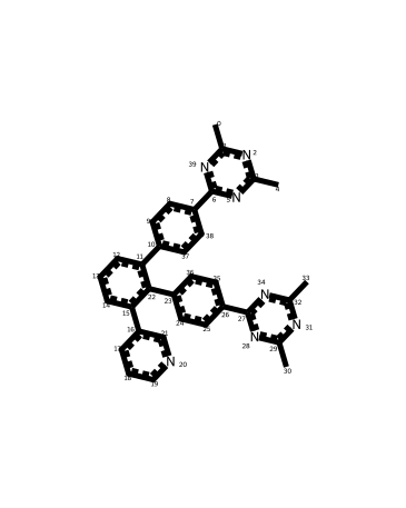 Cc1nc(C)nc(-c2ccc(-c3cccc(-c4cccnc4)c3-c3ccc(-c4nc(C)nc(C)n4)cc3)cc2)n1